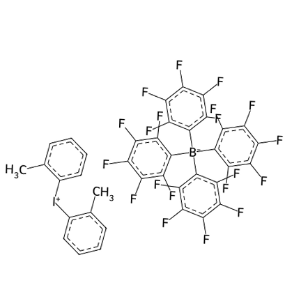 Cc1ccccc1[I+]c1ccccc1C.Fc1c(F)c(F)c([B-](c2c(F)c(F)c(F)c(F)c2F)(c2c(F)c(F)c(F)c(F)c2F)c2c(F)c(F)c(F)c(F)c2F)c(F)c1F